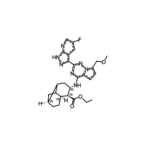 CCOC(=O)[C@@H]1[C@@H](Nc2nc(-c3n[nH]c4ncc(F)cc34)nn3c(COC)ccc23)CC2C3C[C@@H]2CC[C@@H]31